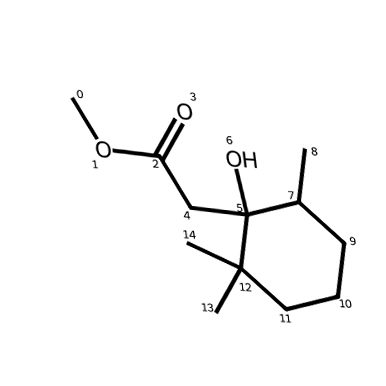 COC(=O)CC1(O)C(C)CCCC1(C)C